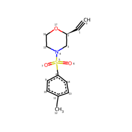 C#C[C@H]1CN(S(=O)(=O)c2ccc(C)cc2)CCO1